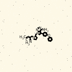 CC(C)C=C(C#N)CN1CCCC1Cn1cc(-c2ccc(Oc3ccccc3)cc2)c2c(N)ncnc21